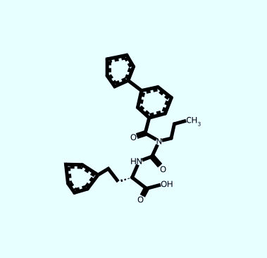 CCCN(C(=O)N[C@@H](CCc1ccccc1)C(=O)O)C(=O)c1cccc(-c2ccccc2)c1